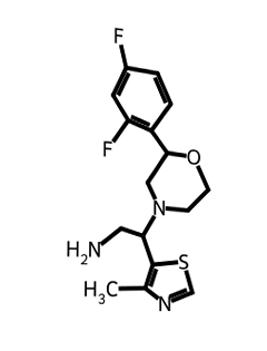 Cc1ncsc1C(CN)N1CCOC(c2ccc(F)cc2F)C1